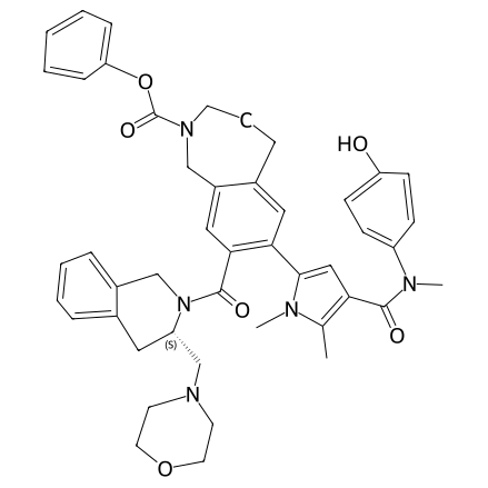 Cc1c(C(=O)N(C)c2ccc(O)cc2)cc(-c2cc3c(cc2C(=O)N2Cc4ccccc4C[C@H]2CN2CCOCC2)CN(C(=O)Oc2ccccc2)CCC3)n1C